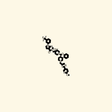 COc1ccc(-c2ncc(CN3CC[C@@H](C(=O)N4CCC(O)(Cn5cnc6c(ccn6-c6cccc(C(F)(F)F)c6)c5=O)CC4)[C@H](c4ccccc4)C3)s2)cn1